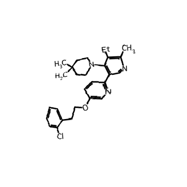 CCc1c(C)ncc(-c2ccc(OCCc3ccccc3Cl)cn2)c1N1CCC(C)(C)CC1